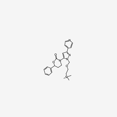 C[Si](C)(C)CCOCn1nc(-c2ccncc2)cc1N1CCC(c2ccccc2)OC1=O